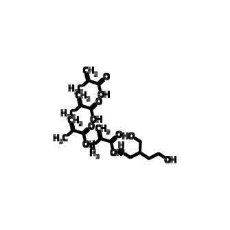 C=C(C)C(=O)O.C=C(C)C(=O)O.C=C(C)C(=O)O.C=C(C)C(=O)O.OCCC(CO)CO